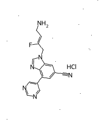 Cl.N#Cc1cc(-c2cncnc2)c2ncn(C/C(F)=C/CN)c2c1